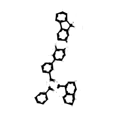 CC1(C)c2ccccc2-c2cc3c(cc21)Oc1ccc(-c2cccc(-c4nc(-c5ccccc5)nc(-c5cccc6ccccc56)n4)c2)cc1O3